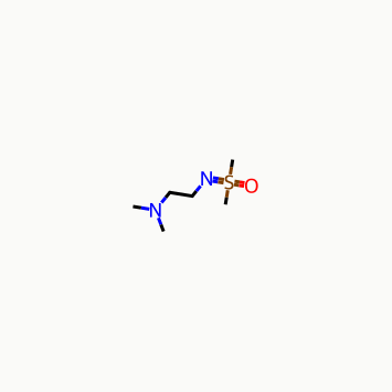 CN(C)CCN=S(C)(C)=O